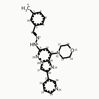 Cc1cccc(C=NNc2cc(N3CCOCC3)c3nc(-c4cccnc4)cn3n2)c1